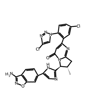 C[C@H]1Cc2nc(-c3cc(Cl)ccc3-n3cc(Cl)nn3)cc(=O)n2[C@@H]1c1ncc(-c2ccc3c(N)noc3c2)[nH]1